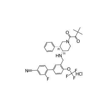 CC(C)(C)C(=O)C(=O)N1CC[C@H](NCc2cc(-c3ccc(C#N)cc3F)ccc2OC(F)(F)F)[C@H](c2ccccc2)C1.Cl